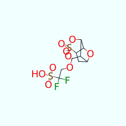 O=C(OCC(F)(F)S(=O)(=O)O)C1C2CC3C(O2)C1OS3(=O)=O